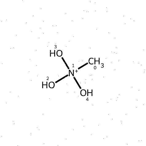 C[N+](O)(O)O